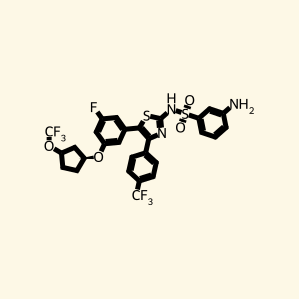 Nc1cccc(S(=O)(=O)Nc2nc(-c3ccc(C(F)(F)F)cc3)c(-c3cc(F)cc(O[C@H]4CCC(OC(F)(F)F)C4)c3)s2)c1